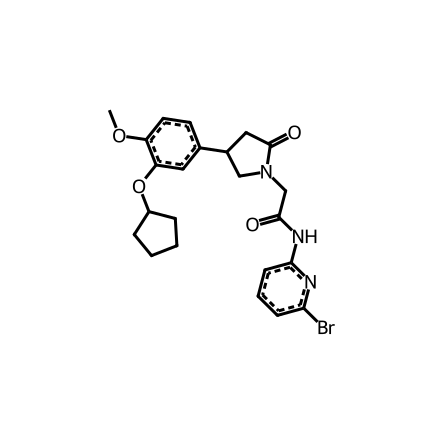 COc1ccc(C2CC(=O)N(CC(=O)Nc3cccc(Br)n3)C2)cc1OC1CCCC1